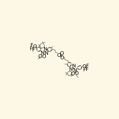 CCOC(=O)N(c1ccc(OC(F)(F)F)cc1)c1nc2cc(CCCOC(=O)OCCCc3cc4nc(N(C(=O)OCC)c5ccc(OC(F)(F)F)cc5)n(C5CC(C)(C)CC(C)(C)C5)c4cc3C)c(C)cc2n1C1CC(C)(C)CC(C)(C)C1